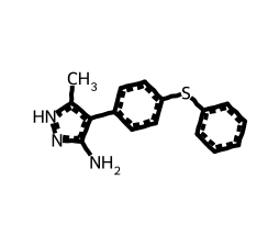 Cc1[nH]nc(N)c1-c1ccc(Sc2ccccc2)cc1